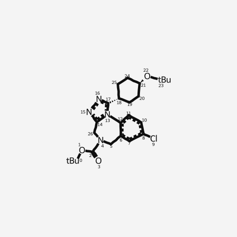 CC(C)(C)OC(=O)N1Cc2cc(Cl)ccc2-n2c(nnc2[C@H]2CC[C@@H](OC(C)(C)C)CC2)C1